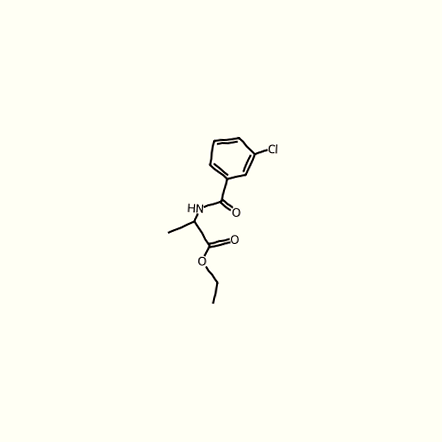 CCOC(=O)C(C)NC(=O)c1cccc(Cl)c1